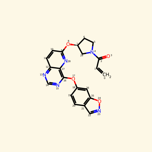 C=CC(=O)N1CC[C@H](Oc2ccc3ncnc(Oc4ccc5cnoc5c4)c3n2)C1